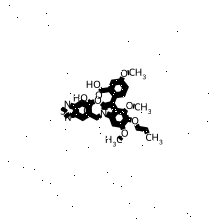 CCCOc1c(OC)cc2c(c1OC)c(-c1ccc(OC)cc1C(=O)O)c(OC(=O)O)n2Cc1ccc2nsnc2c1